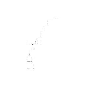 CCCCCCCCCCCCCCCCCNC(=O)OCC1CCC(CO)O1